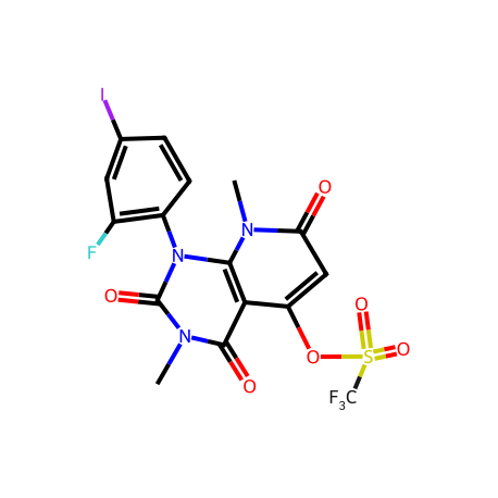 Cn1c(=O)c2c(OS(=O)(=O)C(F)(F)F)cc(=O)n(C)c2n(-c2ccc(I)cc2F)c1=O